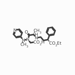 CCOC(=O)[C@@H](CCN[C@@H](C)C(=O)N(CC(=O)O)N(C)c1ccncc1)c1ccccc1